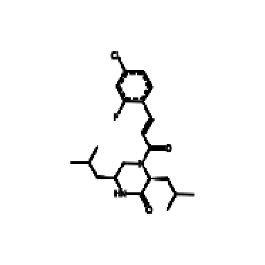 CC(C)C[C@H]1CN(C(=O)/C=C/c2ccc(Cl)cc2F)[C@@H](CC(C)C)C(=O)N1